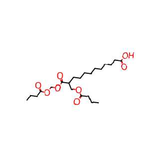 CCCC(=O)OCOC(=O)C(CCCCCCCCCC(=O)O)COC(=O)CCC